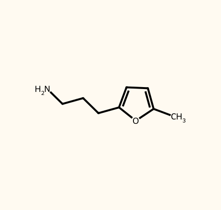 Cc1ccc(CCCN)o1